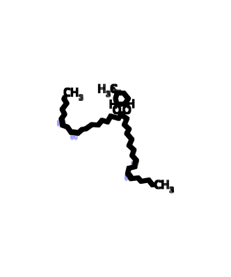 CCCCC/C=C\C/C=C\CCCCCCCCC1(CCCCCCCC/C=C\C/C=C\CCCCC)O[C@@H]2CC[C@@H](C)C[C@H]2O1